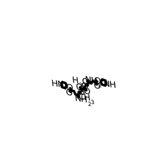 CC(N)(CCC(=O)OC1CCNCC1)COC(=O)C(=O)OCC(C)(N)CCC(=O)OC1CCNCC1